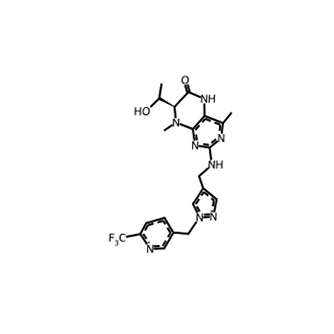 Cc1nc(NCc2cnn(Cc3ccc(C(F)(F)F)nc3)c2)nc2c1NC(=O)[C@H](C(C)O)N2C